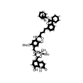 COc1cc(NC(=O)CCCc2cccc(C3(C(=O)O[C@H]4CN5CCC4CC5)CCCCC3)c2)c(Cl)cc1CNC[C@@H](O[Si](C)(C)C(C)(C)C)c1ccc(O)c2[nH]c(=O)ccc12